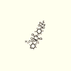 CC(C)(C)c1cnccc1CN1CC(=O)N(c2ccc(S(=O)(=O)C(F)(F)F)cc2)C1=O